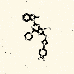 CCc1nc2ccccc2n1-c1nc(N2CCOCC2)c2nc(OC3CN(C4CCS(=O)(=O)CC4)C3)n(C)c2n1